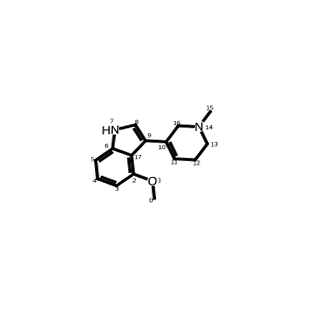 COc1cccc2[nH]cc(C3=CCCN(C)C3)c12